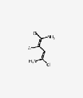 CC(=O)C(/C=C(\N)Cl)=C(/N)Cl